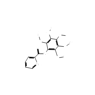 O=C(Nc1c(SF)c(SF)c(SF)c(SF)c1SF)c1ccccn1